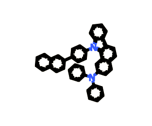 c1ccc(N(c2ccccc2)c2ccc3ccc4c5ccccc5n(-c5ccc(-c6ccc7ccccc7c6)cc5)c4c3c2)cc1